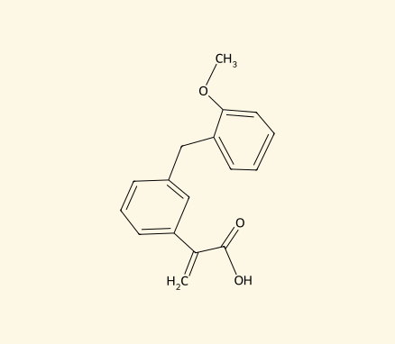 C=C(C(=O)O)c1cccc(Cc2ccccc2OC)c1